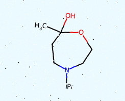 CC(C)N1CCOC(C)(O)CC1